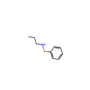 CCCNSc1[c]cccc1